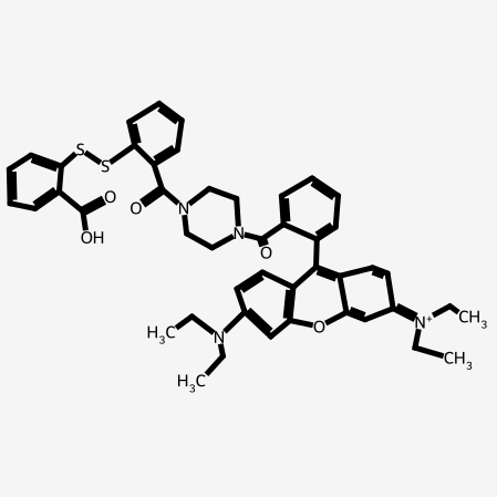 CCN(CC)c1ccc2c(-c3ccccc3C(=O)N3CCN(C(=O)c4ccccc4SSc4ccccc4C(=O)O)CC3)c3ccc(=[N+](CC)CC)cc-3oc2c1